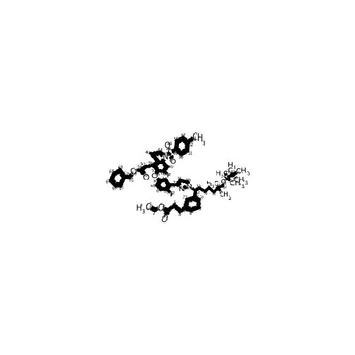 CCOC(=O)CCc1cccc(C(CCCCC(C)(C)CO[Si](C)(C)C(C)(C)C)n2ccc(-c3cc(Oc4c(F)cc5c(ccn5S(=O)(=O)c5ccc(C)cc5)c4CC(=O)OCc4ccccc4)ccc3F)n2)c1